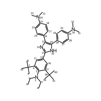 CCN(CC)c1c(C(C)(C)C)cc(-c2nc(-c3ccc(N(C)C)cc3)c(-c3ccc(N(C)C)cc3)[nH]2)cc1C(C)(C)C